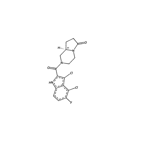 O=C(c1[nH]c2ccc(F)c(Cl)c2c1Cl)N1CCN2C(=O)CC[C@@H]2C1